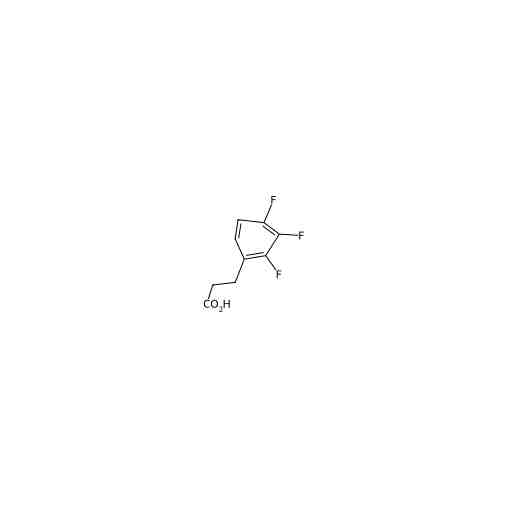 O=C(O)CCc1ccc(F)c(F)c1F